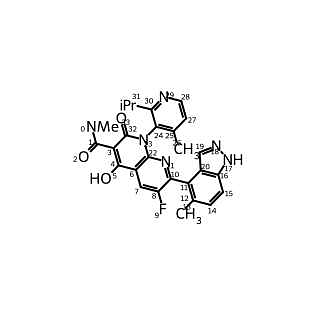 CNC(=O)c1c(O)c2cc(F)c(-c3c(C)ccc4[nH]ncc34)nc2n(-c2c(C)ccnc2C(C)C)c1=O